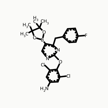 CC1(C)OB(c2cnc(Oc3c(Cl)cc(N)cc3Cl)nc2Cc2ccc(F)cc2)OC1(C)C